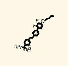 C=CCCCOc1ccc(-c2ccc(CCc3ccc(C(O)CCC)c(F)c3)cc2)c(F)c1F